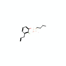 C=CCc1cccc(OP(=O)(O)CCCC)c1F